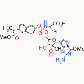 COC(=O)C(C)c1ccc2cc(OP(=O)(NC(C(=O)O)C(C)C)OC[C@H]3OC(n4cnc5c(OC)nc(N)nc54)[C@](C)(O)[C@@H]3O)ccc2c1